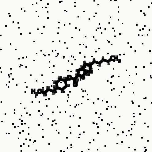 CCCCCc1cc2cc(C(=O)OC3CCC(CCCC)CC3)sc2s1